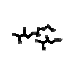 CC(C)[O][Ti+2][O]C(C)C.CCC(CC)C(=O)CC(=O)[O-].CCC(CC)C(=O)CC(=O)[O-]